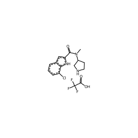 CN(C(=O)c1cc2cccc(Cl)c2[nH]1)C1CCNC1.O=C(O)C(F)(F)F